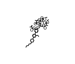 C=C(C)C(=O)OCC(COC(=O)C(C)C(=O)OCC)(COC(=O)C(C)C(=O)OCC)COc1ccc(-c2ccc(C3CCC(CCCCC)CC3)cc2CC)cc1OC(=O)C(=C)C